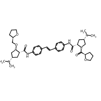 CN(C)[C@H]1C[C@@H](C(=O)Nc2ccc(/C=C/c3ccc(NC(=O)[C@@H]4C[C@H](N(C)C)CN4C(=O)[C@H]4CCCO4)cc3)cc2)N(OC[C@H]2CCCO2)C1